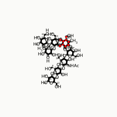 CC(=O)N[C@H]1[C@H](O[C@H]2[C@@H](O)[C@@H](CO)O[C@@H](O[C@H]3[C@H](O)[C@@H](O)[C@H](O)O[C@@H]3CO)[C@@H]2O)O[C@H](CO)[C@@H](O[C@@H]2O[C@H](CO)[C@H](O)[C@H](O[C@H]3O[C@H](CO)[C@H](O)[C@H](O[C@@H]4O[C@H](CO)[C@H](O)[C@H](O[C@H]5O[C@H](CO)[C@H](O)[C@H](O)[C@H]5NC(C)=O)[C@H]4O[C@@H]4O[C@@H](C)[C@@H](O)[C@@H](O)[C@@H]4O)[C@H]3NC(C)=O)[C@H]2O[C@@H]2O[C@@H](C)[C@@H](O)[C@@H](O)[C@@H]2O)[C@@H]1O